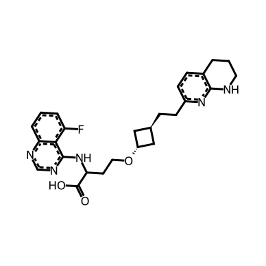 O=C(O)C(CCO[C@H]1C[C@H](CCc2ccc3c(n2)NCCC3)C1)Nc1ncnc2cccc(F)c12